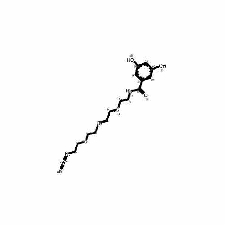 [N-]=[N+]=NCCOCCOCCOCCNC(=O)c1cc(O)cc(O)c1